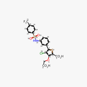 O=C(O)COc1c(C(=O)O)sc(-c2cccc(NS(=O)(=O)c3ccc(C(F)(F)F)cc3)c2)c1Cl